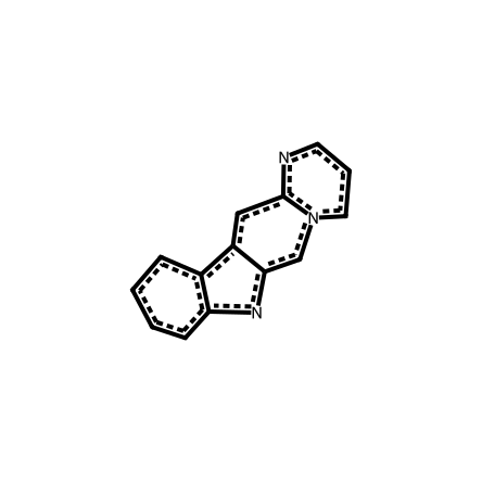 c1ccc2c3cc4ncccn4cc-3nc2c1